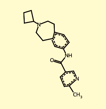 Cc1ccc(C(=O)Nc2ccc3c(c2)CCN(C2CCC2)CC3)cn1